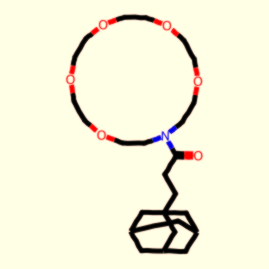 O=C(CCC12CC3CC(CC(C3)C1)C2)N1CCOCCOCCOCCOCCOCC1